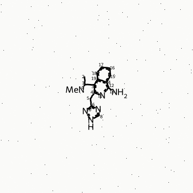 CNC(C)c1c(Cc2nc[nH]n2)nc(N)c2ccccc12